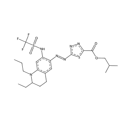 CCCN1c2cc(NS(=O)(=O)C(F)(F)F)c(N=Nc3nnc(C(=O)OCC(C)C)s3)cc2CCC1CC